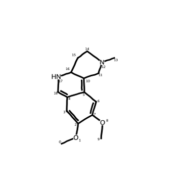 COc1cc2c(cc1OC)=C1CN(C)CCC1NC=2